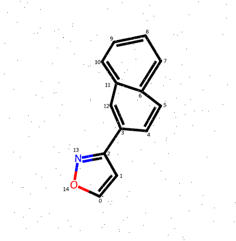 [c]1cc(-c2ccc3ccccc3c2)no1